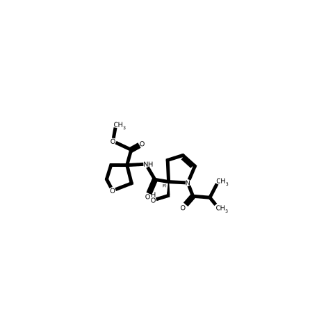 COC(=O)C1(NC(=O)[C@]2(CO)CC=CN2C(=O)C(C)C)CCOC1